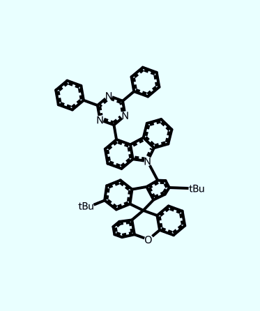 CC(C)(C)c1ccc2c(c1)C1(c3ccccc3Oc3ccccc31)c1cc(C(C)(C)C)cc(-n3c4ccccc4c4c(-c5nc(-c6ccccc6)nc(-c6ccccc6)n5)cccc43)c1-2